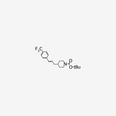 CC(C)(C)OC(=O)N1CCC(C/C=C/c2ccc(C(F)(F)F)cc2)CC1